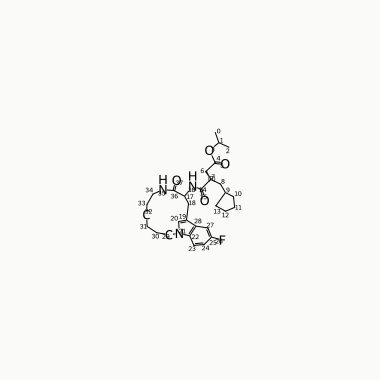 CC(C)OC(=O)C[C@@H](CC1CCCC1)C(=O)NC1Cc2cn(c3ccc(F)cc23)CCCCCCNC1=O